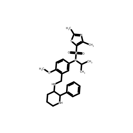 COc1ccc(N(C(C)C)S(=O)(=O)c2sc(C)nc2C)cc1CNC1CCCNC1c1ccccc1